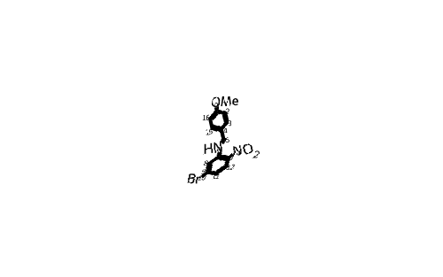 COc1ccc(CNc2cc(Br)ccc2[N+](=O)[O-])cc1